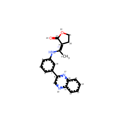 C/C(Nc1cccc(-c2cnc3ccccc3n2)c1)=C1\CCOC1=O